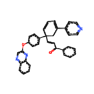 O=C(C=CC1(c2ccc(Oc3cnc4ccccc4n3)cc2)C=CC=C(c2ccncc2)C1)c1ccccc1